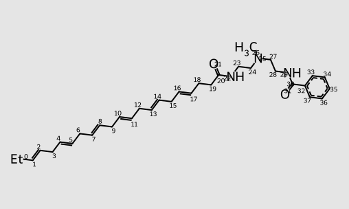 CC/C=C/C/C=C/C/C=C/C/C=C/C/C=C/C/C=C/CCC(=O)NCCN(C)CCNC(=O)c1ccccc1